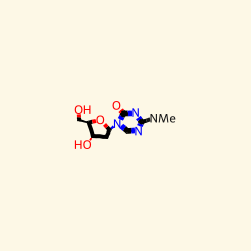 CNc1ncn([C@H]2C[C@H](O)[C@@H](CO)O2)c(=O)n1